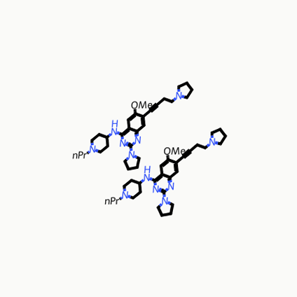 CCCN1CCC(Nc2nc(N3CCCC3)nc3cc(C#CCCN4CCCC4)c(OC)cc23)CC1.CCCN1CCC(Nc2nc(N3CCCC3)nc3cc(C#CCCN4CCCC4)c(OC)cc23)CC1